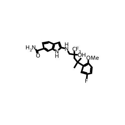 COc1ccc(F)cc1C(C)(C)CC(O)(CNc1cc2ccc(C(N)=O)cc2[nH]1)C(F)(F)F